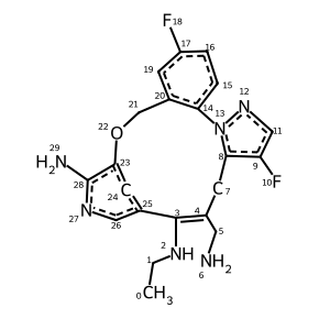 CCN/C1=C(\CN)Cc2c(F)cnn2-c2ccc(F)cc2COc2cc1cnc2N